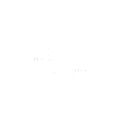 CCCCCCc1ccccc1OC(=S)CCC(=S)Oc1ccccc1CCCCCC.[Sn]